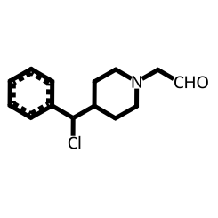 O=CCN1CCC(C(Cl)c2ccccc2)CC1